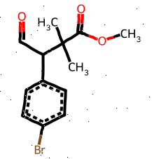 COC(=O)C(C)(C)C(C=O)c1ccc(Br)cc1